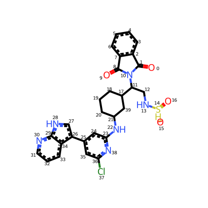 O=C1c2ccccc2C(=O)N1C(CN[SH](=O)=O)C1CCCC(Nc2cc(-c3c[nH]c4ncccc34)cc(Cl)n2)C1